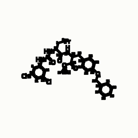 CC(C)CC(NC(=O)Nc1cc(Cl)cc(Cl)c1)C(=O)NC(Cc1ccc(OCc2ccccc2)cc1)C(=O)OC(C)(C)C